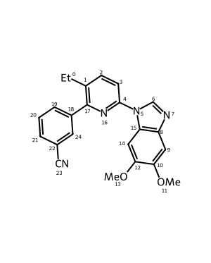 CCc1ccc(-n2cnc3cc(OC)c(OC)cc32)nc1-c1cccc(C#N)c1